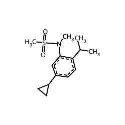 CC(C)c1ccc(C2CC2)cc1N(C)S(C)(=O)=O